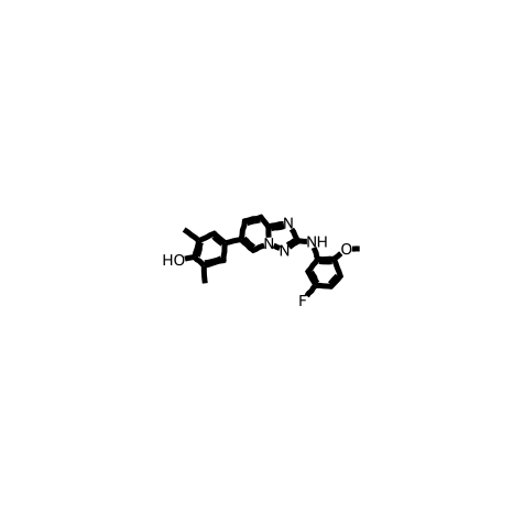 COc1ccc(F)cc1Nc1nc2ccc(-c3cc(C)c(O)c(C)c3)cn2n1